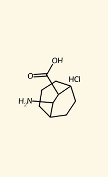 Cl.NC1C2CCCC(CC2)C1C(=O)O